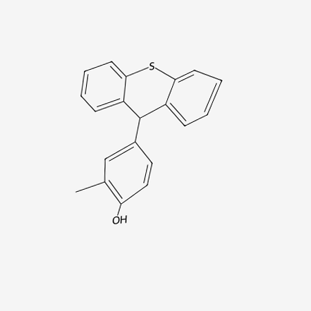 Cc1cc(C2c3ccccc3Sc3ccccc32)ccc1O